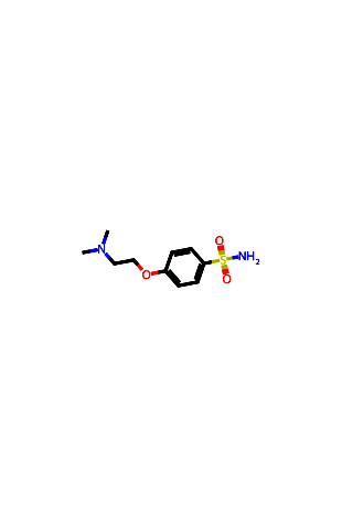 CN(C)CCOc1ccc(S(N)(=O)=O)cc1